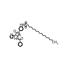 CCCCCCCCCCCCCCCCS(=O)(=O)Nc1ccc(N2N=C(NC(=O)c3ccccc3)C(n3cccn3)C2=O)cc1